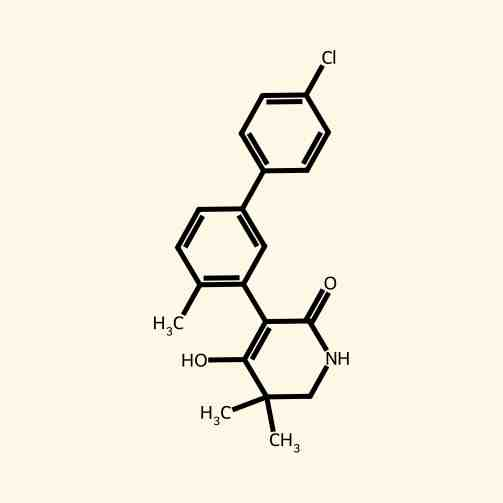 Cc1ccc(-c2ccc(Cl)cc2)cc1C1=C(O)C(C)(C)CNC1=O